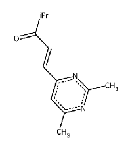 Cc1cc(/C=C/C(=O)C(C)C)nc(C)n1